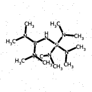 CN(C)B(N[Si](N(C)C)(N(C)C)N(C)C)N(C)C